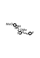 COc1ccc2[nH]c(SCc3nccc(SCCCc4ccc(F)cc4)c3OC)nc2c1